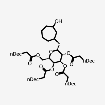 CCCCCCCCCCCC(=O)OC[C@H]1O[C@@H](SC2CCCCC(O)C2)[C@H](OC(=O)CCCCCCCCCCC)[C@@H](OC(=O)CCCCCCCCCCC)[C@H]1OC(=O)CCCCCCCCCCC